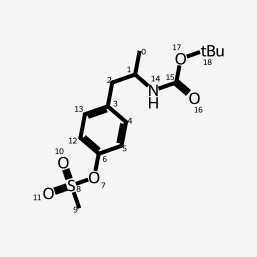 CC(Cc1ccc(OS(C)(=O)=O)cc1)NC(=O)OC(C)(C)C